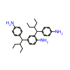 CCC(CC)C(c1ccc(N)cc1)c1ccc(N)c(C(c2ccc(N)cc2)C(CC)CC)c1